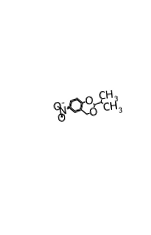 CC(C)C1OCc2cc([N+](=O)[O-])ccc2O1